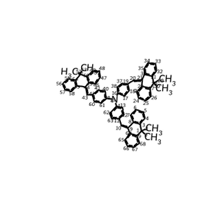 CC1(C)c2ccccc2C(=Cc2ccc(N(c3ccc(C=C4c5ccccc5C(C)(C)c5ccccc54)cc3)c3ccc(C=C4c5ccccc5C(C)(C)c5ccccc54)cc3)cc2)c2ccccc21